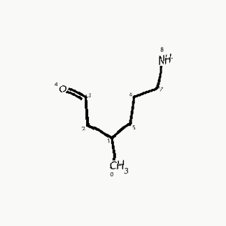 CC(C[C]=O)CCC[NH]